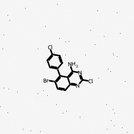 Nc1nc(Cl)nc2ccc(Br)c(-c3ccc(Cl)cc3)c12